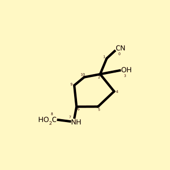 N#CCC1(O)CCC(NC(=O)O)CC1